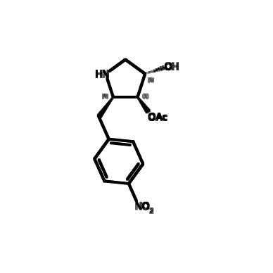 CC(=O)O[C@@H]1[C@@H](O)CN[C@@H]1Cc1ccc([N+](=O)[O-])cc1